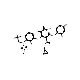 CNS(=O)(=O)N(CC(F)(F)F)c1cccc(Oc2c(C(=O)NC3CC3)c(Nc3ccc(I)cc3F)n(C)c(=O)c2C)c1Cl